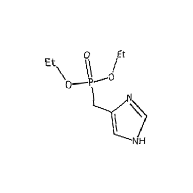 CCOP(=O)(Cc1c[nH]cn1)OCC